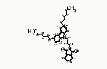 CCCCCCc1ccc2c(c1)c1cc(CCCCCC)ccc1n2CCCN1C(=O)c2ccccc2C1=O